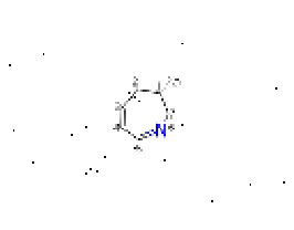 C[C@H]1CC=CC=NC1